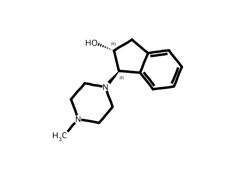 CN1CCN([C@@H]2c3ccccc3C[C@H]2O)CC1